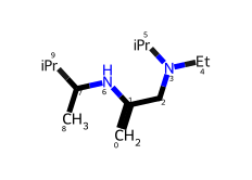 C=C(CN(CC)C(C)C)NC(C)C(C)C